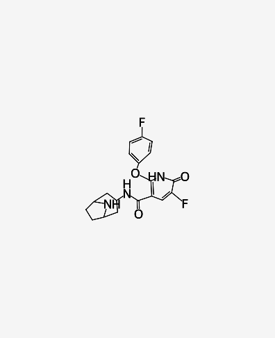 O=C(NC1CC2CCC(C1)N2)c1cc(F)c(=O)[nH]c1Oc1ccc(F)cc1